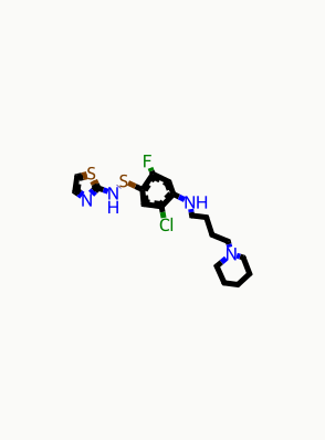 Fc1cc(NCCCCN2CCCCC2)c(Cl)cc1SNc1nccs1